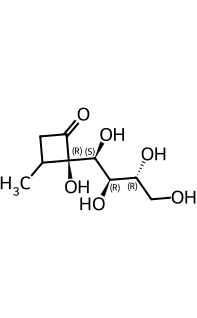 CC1CC(=O)[C@]1(O)[C@@H](O)[C@H](O)[C@H](O)CO